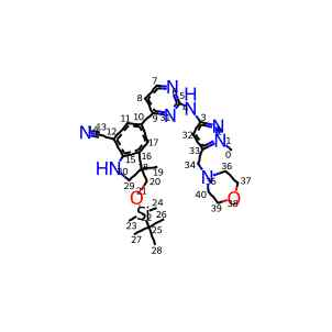 Cn1nc(Nc2nccc(-c3cc(C#N)c4c(c3)C(C)(CO[Si](C)(C)C(C)(C)C)CN4)n2)cc1CN1CCOCC1